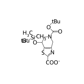 CC(C)(C)OC(=O)N1Cc2nc(C(=O)[O-])sc2C(O[Si](C)(C)C(C)(C)C)C1.[Li+]